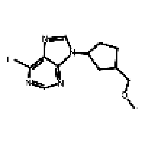 [CH2]OCC1CCC(n2cnc3c(Cl)ncnc32)C1